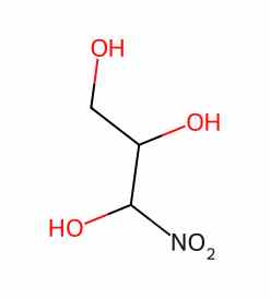 O=[N+]([O-])C(O)C(O)CO